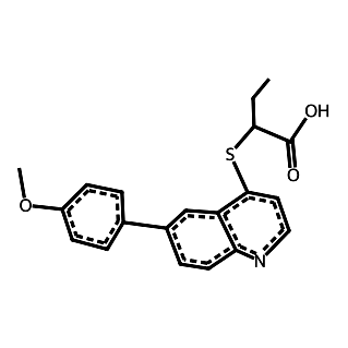 CCC(Sc1ccnc2ccc(-c3ccc(OC)cc3)cc12)C(=O)O